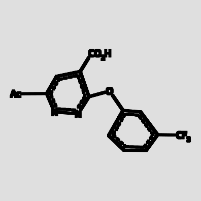 CC(=O)c1cc(C(=O)O)c(Oc2cccc(C(F)(F)F)c2)nn1